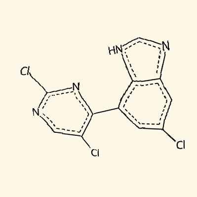 Clc1cc(-c2nc(Cl)ncc2Cl)c2[nH]cnc2c1